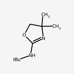 CC1(C)COC(NC(C)(C)C)=N1